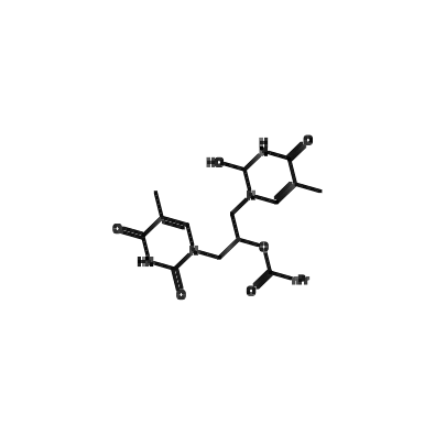 CCCC(=O)OC(CN1C=C(C)C(=O)NC1O)Cn1cc(C)c(=O)[nH]c1=O